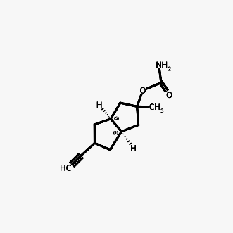 C#CC1C[C@@H]2CC(C)(OC(N)=O)C[C@@H]2C1